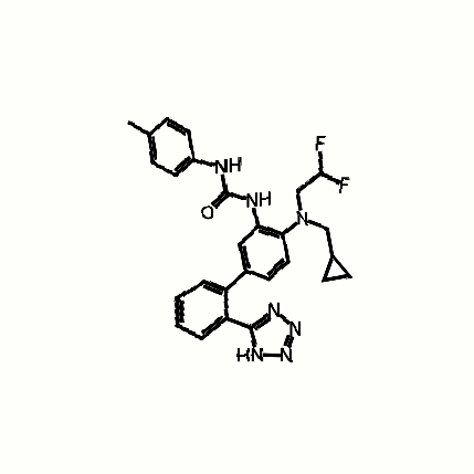 Cc1ccc(NC(=O)Nc2cc(-c3ccccc3-c3nnn[nH]3)ccc2N(CC(F)F)CC2CC2)cc1